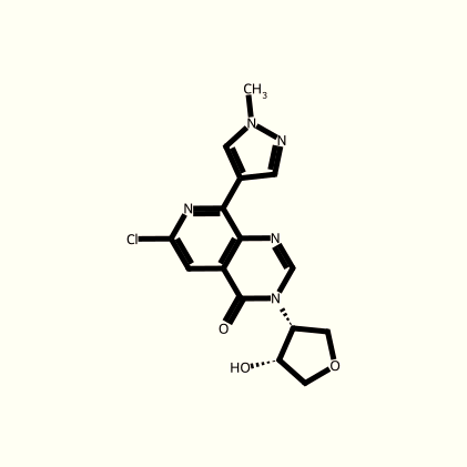 Cn1cc(-c2nc(Cl)cc3c(=O)n([C@@H]4COC[C@@H]4O)cnc23)cn1